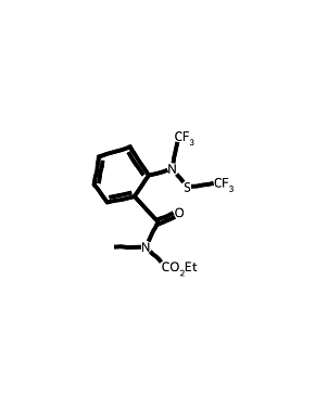 CCOC(=O)N(C)C(=O)c1ccccc1N(SC(F)(F)F)C(F)(F)F